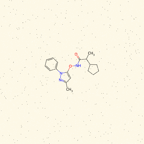 Cc1cc(ONC(=O)C(C)C2CCCC2)n(-c2ccccc2)n1